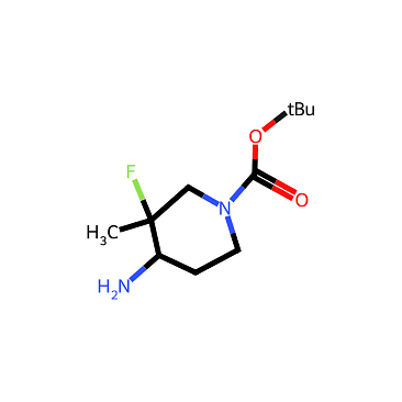 CC(C)(C)OC(=O)N1CCC(N)C(C)(F)C1